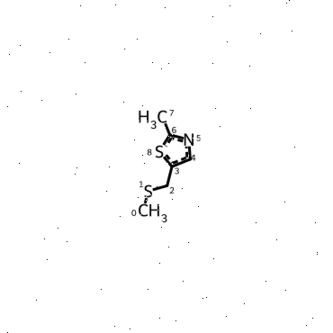 CSCc1cnc(C)s1